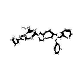 Nc1nc(N2CCN3CC(CN(Cc4ccccn4)Cc4ccccn4)CCC3C2)nc2nc(-c3ccco3)nn12